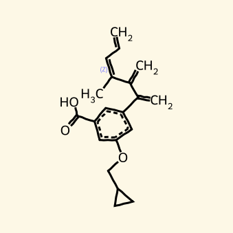 C=C/C=C(/C)C(=C)C(=C)c1cc(OCC2CC2)cc(C(=O)O)c1